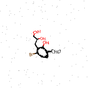 O=Cc1ccc(Br)c(CC(O)CO)c1O